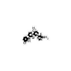 CC1CCN(c2ncnc(N)c2F)CC1N1CCCC(Nc2cccc(Cl)c2)C1=O